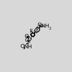 CC(=O)NCC[C@H]1CN(c2ccc(N3CCN(C(=O)CN)CC3)c(F)c2)C(=O)O1